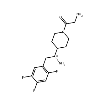 NCC(=O)N1CCC([C@H](N)Cc2cc(F)c(F)cc2F)CC1